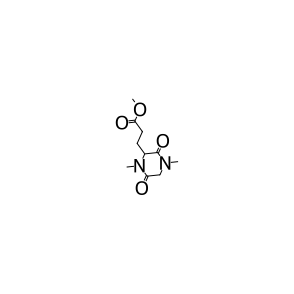 COC(=O)CCC1C(=O)N(C)CC(=O)N1C